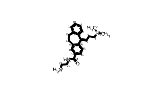 CN(C)CC/C=C1\c2ccccc2CCc2cc(C(=O)NCCN)ccc21